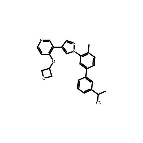 Cc1ccc(-c2cccc(C(C)C#N)c2)cc1-n1cc(-c2cnccc2OC2COC2)cn1